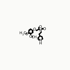 COc1ccc(OCC2COC(=O)N2CCC2CCNCC2)cc1OC